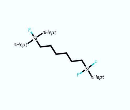 CCCCCCC[Si](F)(F)CCCCCC[Si](F)(CCCCCCC)CCCCCCC